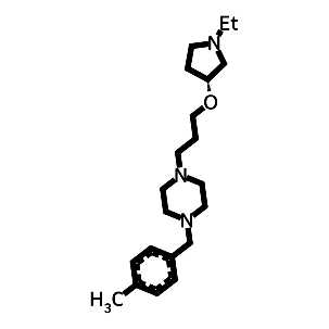 CCN1CC[C@@H](OCCCN2CCN(Cc3ccc(C)cc3)CC2)C1